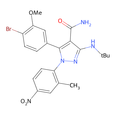 COc1cc(-c2c(C(N)=O)c(NC(C)(C)C)nn2-c2ccc([N+](=O)[O-])cc2C)ccc1Br